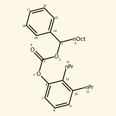 CCCCCCCCC(OC(=O)Oc1cccc(CCC)c1CCC)c1ccccc1